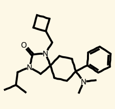 CC(C)CN1CC2(CCC(c3ccccc3)(N(C)C)CC2)N(CC2CCC2)C1=O